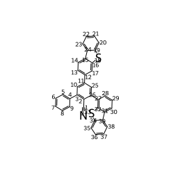 N#Cc1c(-c2ccccc2)cc(-c2ccc3c(c2)sc2ccccc23)cc1-c1cccc2c1sc1ccccc12